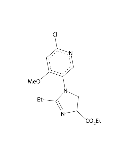 CCOC(=O)C1CN(c2cnc(Cl)cc2OC)C(CC)=N1